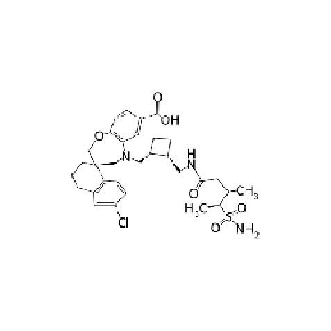 C[C@H](CC(=O)NC[C@@H]1CC[C@@H]1CN1C[C@@]2(CCCc3cc(Cl)ccc32)COc2ccc(C(=O)O)cc21)[C@H](C)S(N)(=O)=O